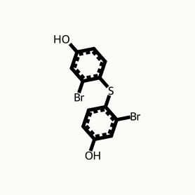 Oc1ccc(Sc2ccc(O)cc2Br)c(Br)c1